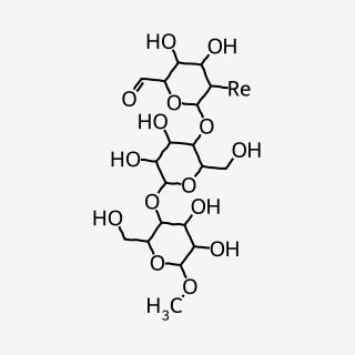 COC1OC(CO)C(OC2OC(CO)C(OC3OC(C=O)C(O)C(O)[CH]3[Re])C(O)C2O)C(O)C1O